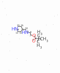 CC(C)(C)C(=O)OCCNCC1CCNCC1